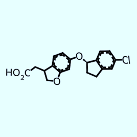 O=C(O)CC1COc2cc(O[C@@H]3CCc4cc(Cl)ccc43)ccc21